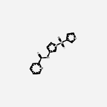 O=C(Nc1ccn(S(=O)(=O)c2ccsc2)c1)c1ccccn1